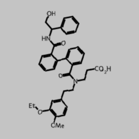 CCOc1cc(CCN(CCC(=O)O)C(=O)c2ccccc2-c2ccccc2C(=O)NC(CO)c2ccccc2)ccc1OC